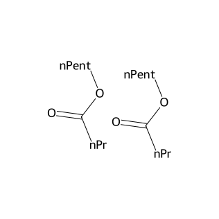 CCCCCOC(=O)CCC.CCCCCOC(=O)CCC